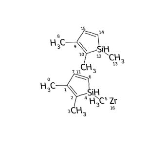 CC1=C(C)[SiH](C)C=C1.CC1=C(C)[SiH](C)C=C1.[Zr]